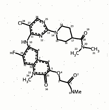 CNC(=O)COc1cc2cc(Nc3nc(N4CCC(C(=O)N(C)C)CC4)ncc3Cl)c(F)cc2n(C)c1=O